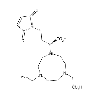 CC(=O)CN1CCN(CC(=O)O)CCN([C@@H](CCN2C(=O)C=CC2=O)C(=O)O)CC1